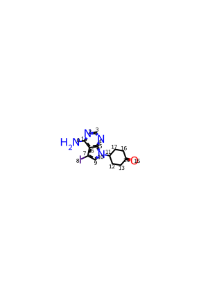 Nc1ncnc2c1c(I)cn2C1CCC(=O)CC1